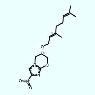 CC(C)=CCC/C(C)=C/CO[C@@H]1COc2nc([N+](=O)[O-])cn2C1